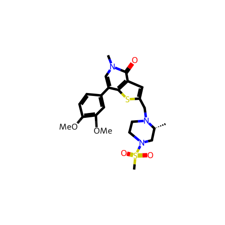 COc1ccc(-c2cn(C)c(=O)c3cc(CN4CCN(S(C)(=O)=O)C[C@H]4C)sc23)cc1OC